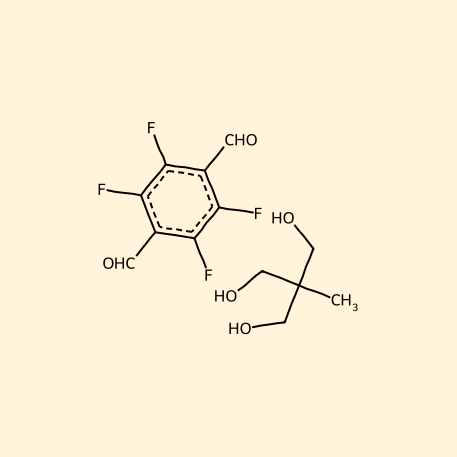 CC(CO)(CO)CO.O=Cc1c(F)c(F)c(C=O)c(F)c1F